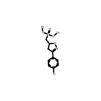 CCOP(=O)(CC1CC(c2ccc(Cl)cc2)=NO1)OCC